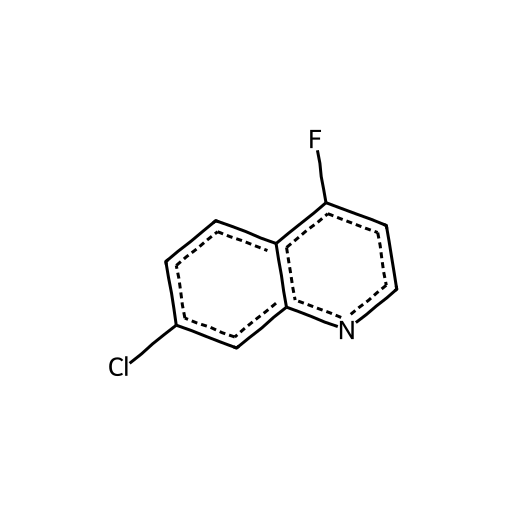 Fc1ccnc2cc(Cl)ccc12